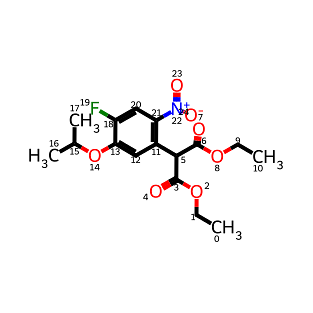 CCOC(=O)C(C(=O)OCC)c1cc(OC(C)C)c(F)cc1[N+](=O)[O-]